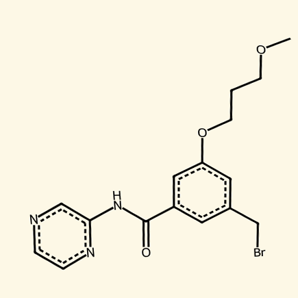 COCCCOc1cc(CBr)cc(C(=O)Nc2cnccn2)c1